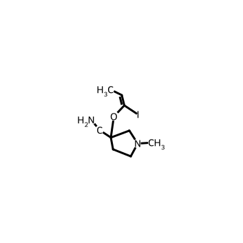 C/C=C(/I)OC1(CN)CCN(C)C1